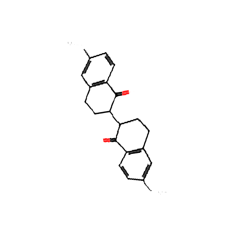 COc1ccc2c(c1)CCC(C1CCc3cc(OC)ccc3C1=O)C2=O